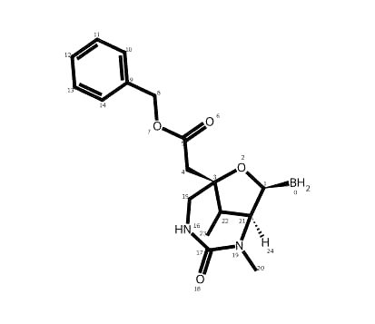 B[C@@H]1O[C@@]2(CC(=O)OCc3ccccc3)CNC(=O)N(C)[C@H]1C2C